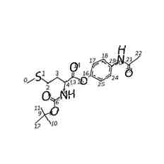 CSCCC(NC(=O)OC(C)(C)C)C(=O)Oc1ccc(NC(C)=O)cc1